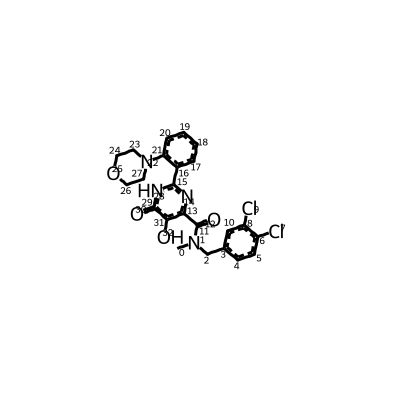 CN(Cc1ccc(Cl)c(Cl)c1)C(=O)c1nc(-c2ccccc2N2CCOCC2)[nH]c(=O)c1O